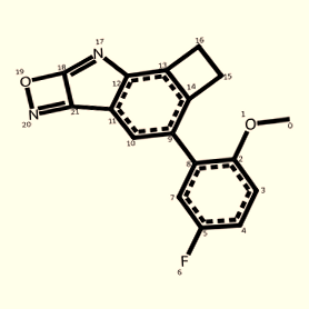 COc1ccc(F)cc1-c1cc2c(c3c1CC3)N=C1ON=C12